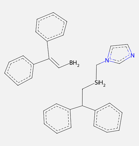 BC=C(c1ccccc1)c1ccccc1.c1ccc(C(C[SiH2]Cn2ccnc2)c2ccccc2)cc1